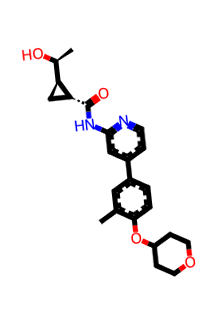 Cc1cc(-c2ccnc(NC(=O)[C@@H]3C[C@H]3[C@H](C)O)c2)ccc1OC1CCOCC1